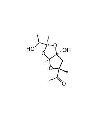 CC(=O)[C@@]1(C)C[C@]2(O)O[C@](C)(C(C)O)O[C@]2(C)O1